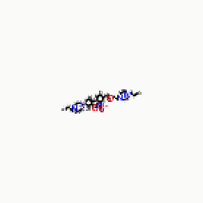 C=CCN1CCN(CCOCc2ccc(-c3ccc(N4CCN(CC=C)CC4)cc3)c([N+](=O)[O-])c2)CC1